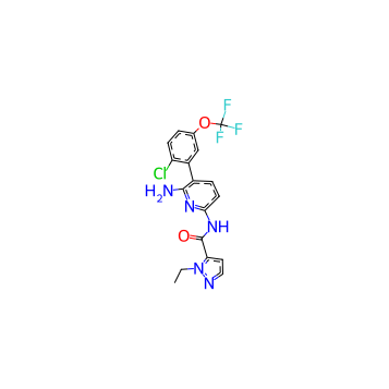 CCn1nccc1C(=O)Nc1ccc(-c2cc(OC(F)(F)F)ccc2Cl)c(N)n1